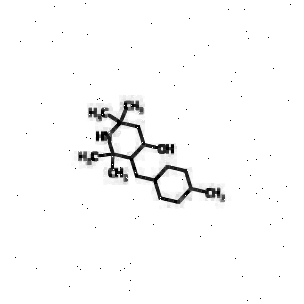 CC1CCC(CC2C(O)CC(C)(C)NC2(C)C)CC1